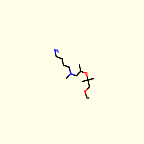 CC(C)OCC(C)(C)OC(C)CN(C)CCCCN